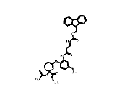 COC(=O)C1(OC(C)=O)CCCC(Oc2ccc(CO)cc2NC(=O)CCNC(=O)OCC2c3ccccc3-c3ccccc32)O1